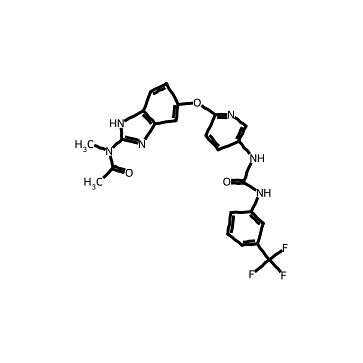 CC(=O)N(C)c1nc2cc(Oc3ccc(NC(=O)Nc4cccc(C(F)(F)F)c4)cn3)ccc2[nH]1